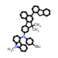 Cn1c2ccccc2c2c(N(c3ccc(C(C)(C)C)cc3)c3ccc4c(c3)C(C)(C)c3cc(-c5cccc6c5Cc5ccccc5-6)c5ccccc5c3-4)cccc21